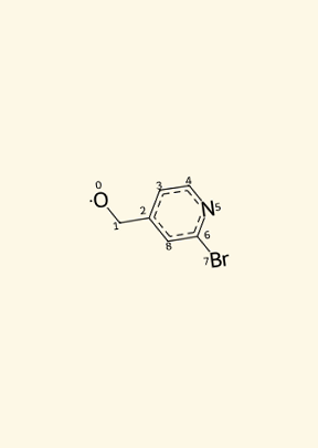 [O]Cc1ccnc(Br)c1